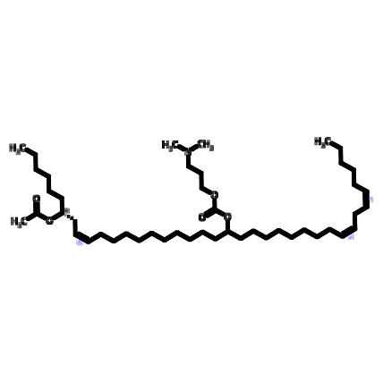 CCCCC/C=C\C/C=C\CCCCCCCCC(CCCCCCCCCC/C=C\C[C@@H](CCCCCC)OC(C)=O)OC(=O)OCCCN(C)C